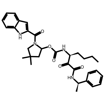 CCCC[C@H](NC(=O)OC1CC(C)(C)CN1C(=O)c1cc2ccccc2[nH]1)C(=O)C(=O)N[C@H](C)c1ccccc1